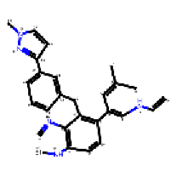 C=CN/C=C(\C=C(C)C)c1ccc(NCC)c(N=C)c1Cc1cccc(-c2ccn(C)n2)c1